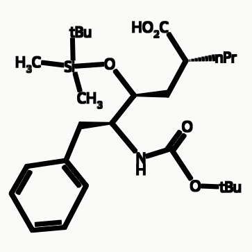 CCC[C@H](C[C@H](O[Si](C)(C)C(C)(C)C)[C@H](Cc1ccccc1)NC(=O)OC(C)(C)C)C(=O)O